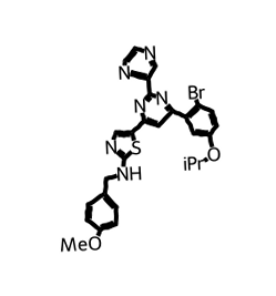 COc1ccc(CNc2ncc(-c3cc(-c4cc(OC(C)C)ccc4Br)nc(-c4cnccn4)n3)s2)cc1